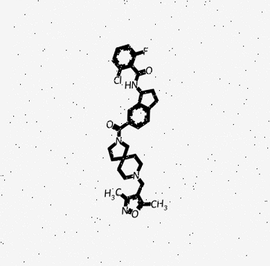 Cc1noc(C)c1CN1CCC2(CC1)CCN(C(=O)c1ccc3c(c1)C(NC(=O)c1c(F)cccc1Cl)CC3)C2